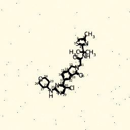 Cc1csc(C(C)(C)NC(=O)CN2Cc3ccc(-c4nc(NC5CCOCC5)ncc4Cl)cc3C2=O)n1